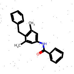 Cc1cc(NC(=O)c2ccccc2)cc(C)c1Cc1ccccc1